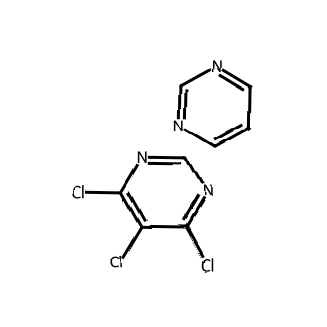 Clc1ncnc(Cl)c1Cl.c1cncnc1